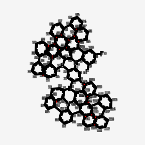 Fc1cc(F)c(N2c3cc4c(cc3B3c5ccccc5N(c5c(-c6ccccc6)cccc5-c5ccccc5)c5cc(N(c6ccccc6)c6c(-c7ccccc7)cccc6-c6ccccc6)cc2c53)B2c3ccccc3N(c3c(-c5ccccc5)cccc3-c3ccccc3)c3cc(N(c5ccccc5)c5c(-c6ccccc6)cccc5-c5ccccc5)cc(c32)S4)c(-c2ccccc2)c1